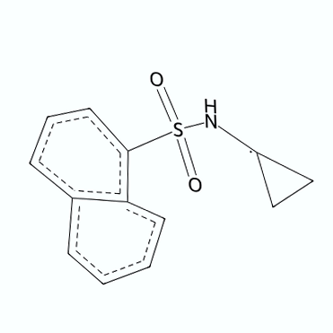 O=S(=O)(N[C]1CC1)c1cccc2ccccc12